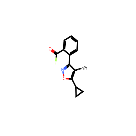 CCCc1c(-c2ccccc2C(=O)F)noc1C1CC1